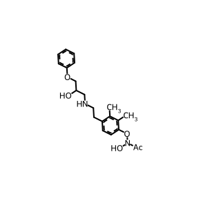 CC(=O)N(O)Oc1ccc(CCNCC(O)COc2ccccc2)c(C)c1C